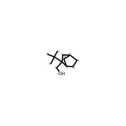 CC(C)(C)C1(CO)CC2CCC1C2